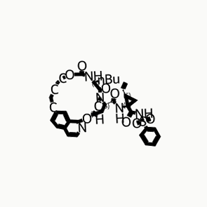 C=C[C@@H]1C[C@]1(NC(=O)[C@@H]1C[C@@H]2CN1C(=O)[C@H](CCCC)NC(=O)OCCCCCc1ccc3ccnc(c3c1)O2)C(=O)NS(=O)(=O)c1ccccc1